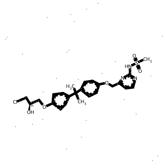 CC(C)(c1ccc(OCc2ccnc(NS(C)(=O)=O)n2)cc1)c1ccc(OC[C@@H](O)CCl)cc1